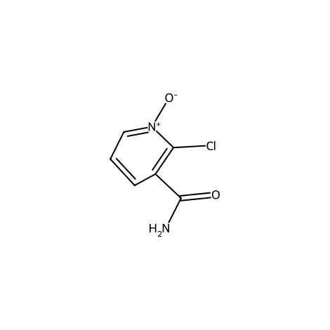 NC(=O)c1ccc[n+]([O-])c1Cl